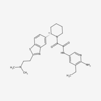 CCc1cc(NC(=O)C(=O)N2CCCC[C@H]2c2ccc3sc(CCN(C)C)nc3c2)cnc1N